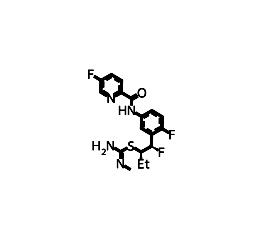 CC[C@@H](S/C(N)=N\C)[C@H](F)c1cc(NC(=O)c2ccc(F)cn2)ccc1F